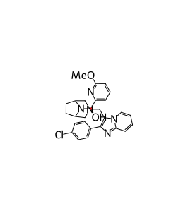 COc1cccc(C(O)N2C3CCC2CN(Cc2c(-c4ccc(Cl)cc4)nc4ccccn24)C3)n1